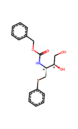 O=C(N[C@@H](CSc1ccccc1)[C@H](O)CO)OCc1ccccc1